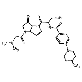 CC(C)CC(NC(=O)c1ccc(N2CCN(C)CC2)cc1)C(=O)N1CCC2C1C(=O)CN2C(=O)CN(C)C